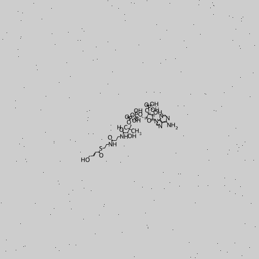 CC(C)(COP(=O)(O)OP(=O)(O)OC[C@H]1O[C@@H](n2cnc3c(N)ncnc32)[C@H](O)[C@@H]1OP(=O)(O)O)C(O)C(=O)NCCC(=O)NCCSC(=O)C=CCO